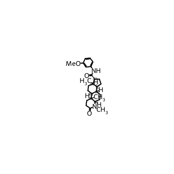 COc1cccc(NC(=O)[C@H]2CC[C@H]3[C@@H]4CC[C@H]5N(C)C(=O)CC[C@]5(C)[C@H]4CC[C@]23C)c1